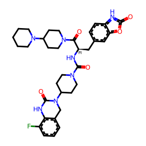 O=C(N[C@H](Cc1ccc2[nH]c(=O)oc2c1)C(=O)N1CCC(N2CCCCC2)CC1)N1CCC(N2Cc3cccc(F)c3NC2=O)CC1